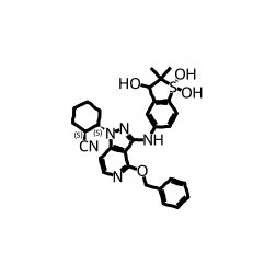 CC1(C)C(O)c2cc(Nc3nn([C@H]4CCCC[C@@H]4C#N)c4ccnc(OCc5ccccc5)c34)ccc2S1(O)O